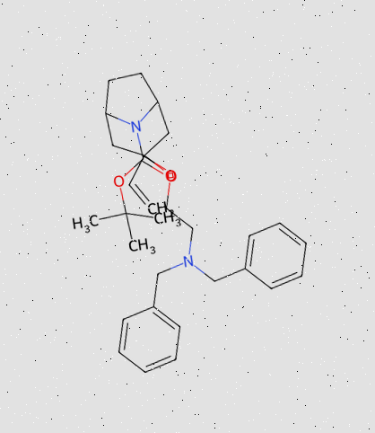 C=CC1(OCCN(Cc2ccccc2)Cc2ccccc2)CC2CCC(C1)N2C(=O)OC(C)(C)C